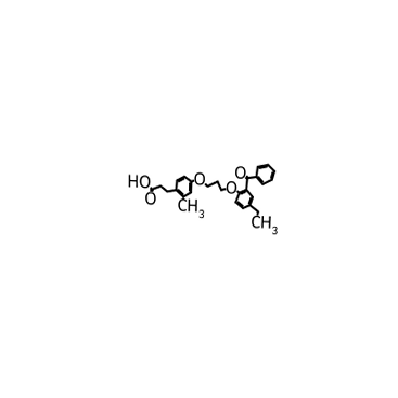 CCc1ccc(OCCCOc2ccc(CCC(=O)O)c(C)c2)c(C(=O)c2ccccc2)c1